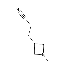 CN1CC(CCC#N)C1